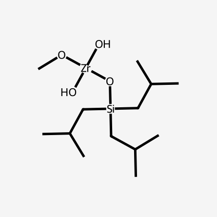 C[O][Zr]([OH])([OH])[O][Si](CC(C)C)(CC(C)C)CC(C)C